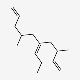 C=CCC(C)CC(=CCC)CC(C)C=C